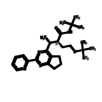 CN(c1nc(-c2ccccn2)nc2c1CCC2)[C@@H](CCOC(C)(C)C)C(=O)NC(C)(C)C